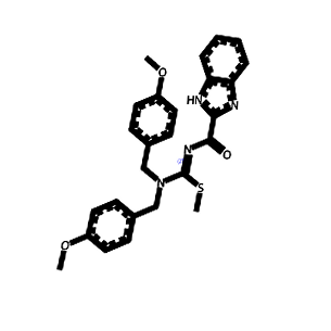 COc1ccc(CN(Cc2ccc(OC)cc2)/C(=N/C(=O)c2nc3ccccc3[nH]2)SC)cc1